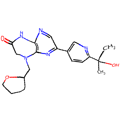 CC(C)(O)c1ccc(-c2cnc3c(n2)N(CC2CCCO2)CC(=O)N3)cn1